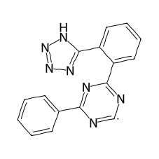 [c]1nc(-c2ccccc2)nc(-c2ccccc2-c2nnn[nH]2)n1